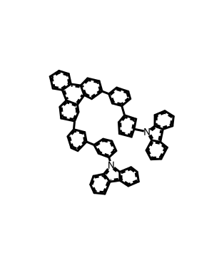 c1cc(-c2cccc(-n3c4ccccc4c4ccccc43)c2)cc(-c2ccc3c4ccccc4c4ccc(-c5cccc(-c6cccc(-n7c8ccccc8c8ccccc87)c6)c5)cc4c3c2)c1